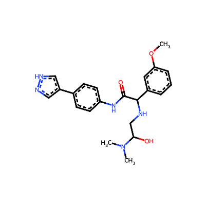 COc1cccc(C(NCC(O)N(C)C)C(=O)Nc2ccc(-c3cn[nH]c3)cc2)c1